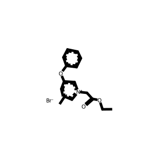 CCOC(=O)C[n+]1cc(C)cc(Oc2ccccc2)c1.[Br-]